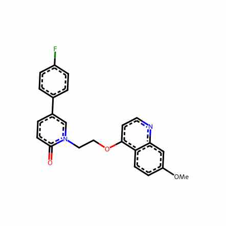 COc1ccc2c(OCCn3cc(-c4ccc(F)cc4)ccc3=O)ccnc2c1